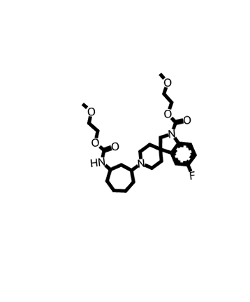 COCCOC(=O)NC1CCCCC(N2CCC3(CC2)CN(C(=O)OCCOC)c2ccc(F)cc23)C1